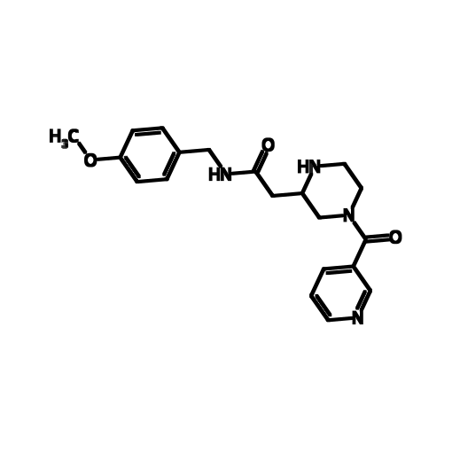 COc1ccc(CNC(=O)CC2CN(C(=O)c3cccnc3)CCN2)cc1